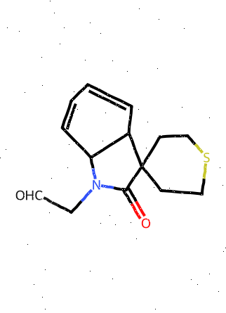 O=CCN1C(=O)C2(CCSCC2)C2C=CC=CC21